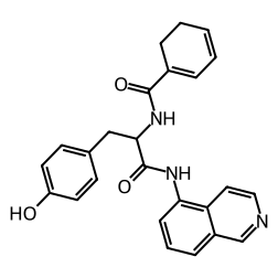 O=C(NC(Cc1ccc(O)cc1)C(=O)Nc1cccc2cnccc12)C1=CC=CCC1